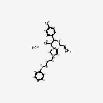 C=CCOC(c1ccc(Cl)cc1)C(Cl)N1C=CN(CCCSc2ccccc2)C1.Cl